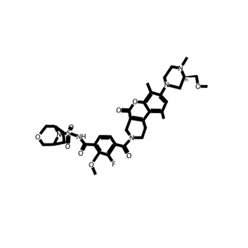 COC[C@H]1CN(c2cc(C)c3c4c(c(=O)oc3c2C)CN(C(=O)c2ccc(C(=O)NS(=O)(=O)N3C5CCC3COC5)c(OC)c2F)CC4)CCN1C